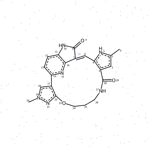 Cc1cc2c([nH]1)/C=C1\C(=O)Nc3ccc(nc31)-c1cn(C)nc1OCCCNC2=O